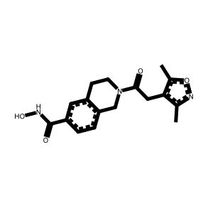 Cc1noc(C)c1CC(=O)N1CCc2cc(C(=O)NO)ccc2C1